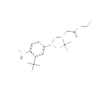 CCOC(=O)CN1ON(c2ccc([N+](=O)[O-])c(C(F)(F)F)c2)OC1(C)C